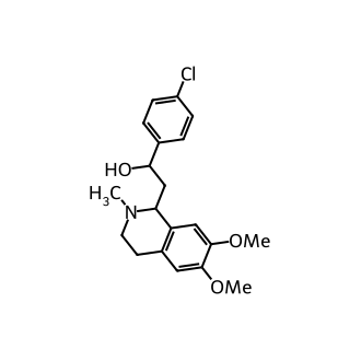 COc1cc2c(cc1OC)C(CC(O)c1ccc(Cl)cc1)N(C)CC2